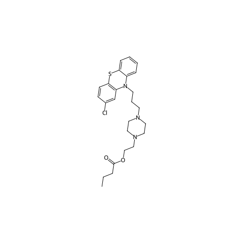 CCCC(=O)OCCN1CCN(CCCN2c3ccccc3Sc3ccc(Cl)cc32)CC1